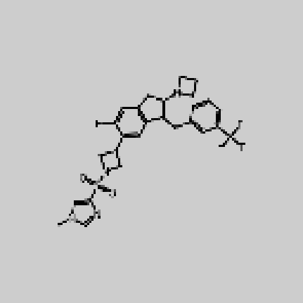 Cn1cnc(S(=O)(=O)N2CC(c3cc4c(cc3F)CC(N3CCC3)C4Cc3cccc(C(F)(F)F)c3)C2)c1